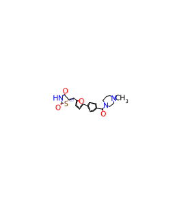 CN1CCCN(C(=O)c2ccc(-c3ccc(/C=C4\SC(=O)NC4=O)o3)cc2)CC1